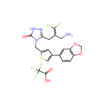 NCC(Cc1n[nH]c(=O)n1Cc1cc(-c2ccc3c(c2)OCO3)cs1)=C(F)F.O=C(O)C(F)(F)F